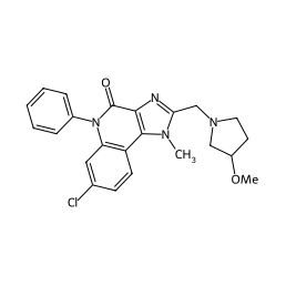 COC1CCN(Cc2nc3c(=O)n(-c4ccccc4)c4cc(Cl)ccc4c3n2C)C1